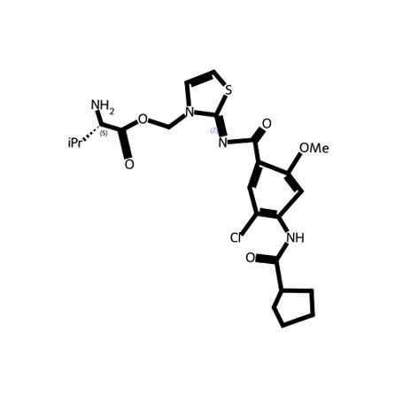 COc1cc(NC(=O)C2CCCC2)c(Cl)cc1C(=O)/N=c1\sccn1COC(=O)[C@@H](N)C(C)C